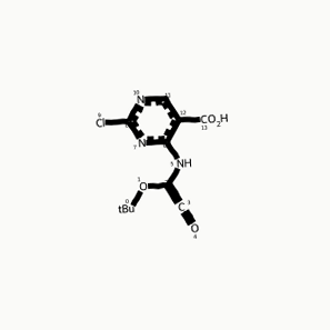 CC(C)(C)OC(=C=O)Nc1nc(Cl)ncc1C(=O)O